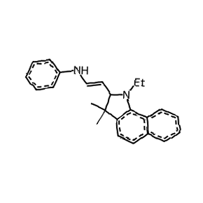 CCN1c2c(ccc3ccccc23)C(C)(C)C1/C=C/Nc1ccccc1